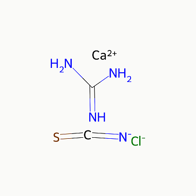 N=C(N)N.[Ca+2].[Cl-].[N-]=C=S